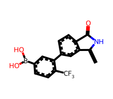 C=C1NC(=O)c2ccc(-c3cc(B(O)O)ccc3C(F)(F)F)cc21